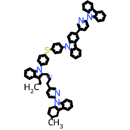 C=Cc1c(/C=C\Cc2ccc(-n3c4c(c5ccccc53)CC(C)C=C4)nc2)n(-c2ccc(Sc3ccc(-n4c5ccccc5c5cc(-c6ccc(-n7c8ccccc8c8ccccc87)nc6)ccc54)cc3)cc2)c2ccccc12